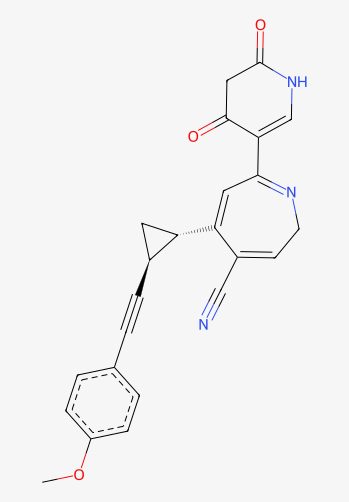 COc1ccc(C#C[C@H]2C[C@@H]2C2=CC(C3=CNC(=O)CC3=O)=NCC=C2C#N)cc1